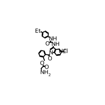 CCc1ccc(NC(=O)Nc2cn(C(=O)c3ccccc3COC(=O)CN)c3ccc(F)cc23)cc1.Cl